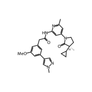 COc1cc(CC(=O)Nc2cc(N3CC[C@@](C)(C4CC4)C3=O)cc(C)n2)cc(-c2cnn(C)c2)c1